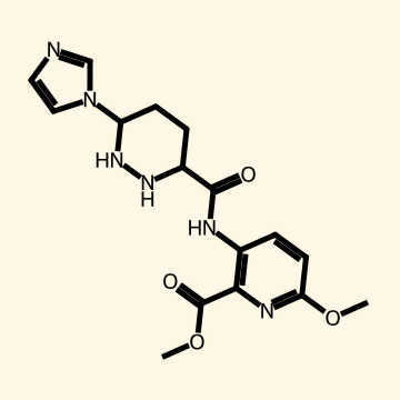 COC(=O)c1nc(OC)ccc1NC(=O)C1CCC(n2ccnc2)NN1